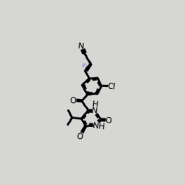 CC(C)c1c(C(=O)c2cc(Cl)cc(/C=C/C#N)c2)[nH]c(=O)[nH]c1=O